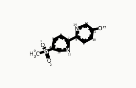 CS(=O)(=O)c1ccc(-c2ccc([O])cn2)nc1